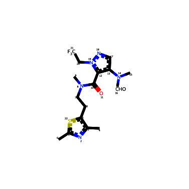 Cc1nc(C)c(CCN(C)C(=O)c2c(N(C)C=O)cnn2CC(F)(F)F)s1